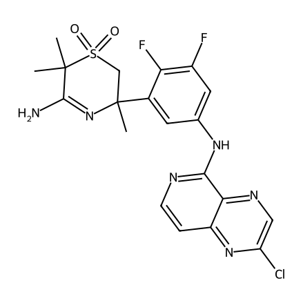 CC1(c2cc(Nc3nccc4nc(Cl)cnc34)cc(F)c2F)CS(=O)(=O)C(C)(C)C(N)=N1